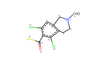 O=CN1CCc2c(cc(Cl)c(C(=O)S)c2Cl)C1